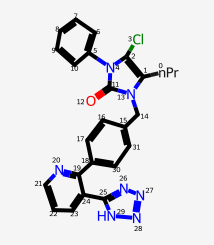 CCCc1c(Cl)n(-c2ccccc2)c(=O)n1Cc1ccc(-c2ncccc2-c2nnn[nH]2)cc1